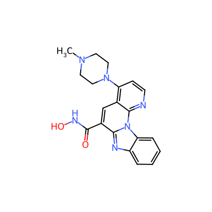 CN1CCN(c2ccnc3c2cc(C(=O)NO)c2nc4ccccc4n23)CC1